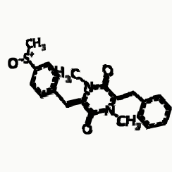 Cn1c(=O)c(=Cc2ccc([S+](C)[O-])cc2)n(C)c(=O)c1=Cc1ccccc1